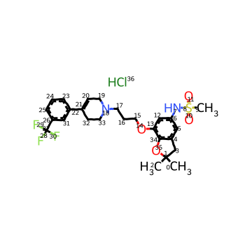 CC1(C)Cc2cc(NS(C)(=O)=O)cc(OCCCN3CC=C(c4cccc(C(F)(F)F)c4)CC3)c2O1.Cl